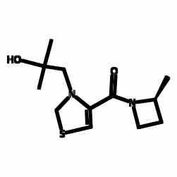 C[C@H]1CCN1C(=O)C1=CSCN1CC(C)(C)O